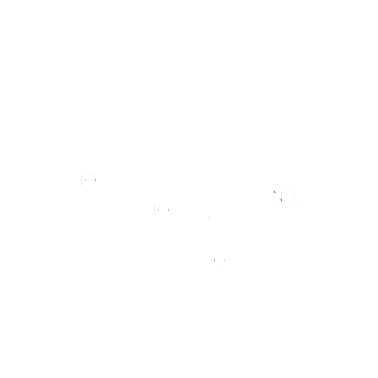 C/C=C/C=C/CO.NCC(=O)O